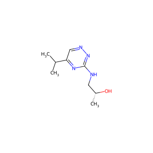 CC(C)c1cnnc(NC[C@@H](C)O)n1